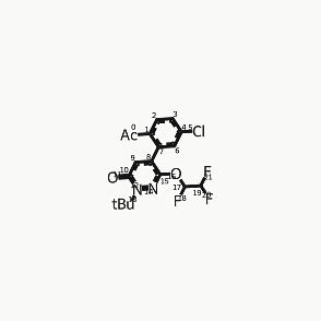 CC(=O)c1ccc(Cl)cc1-c1cc(=O)n(C(C)(C)C)nc1OC(F)C(F)F